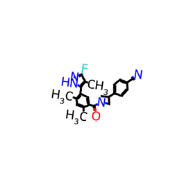 Cc1cc(C)c(-c2[nH]nc(F)c2C)cc1C(=O)N1CC(c2ccc(C#N)cc2)C1